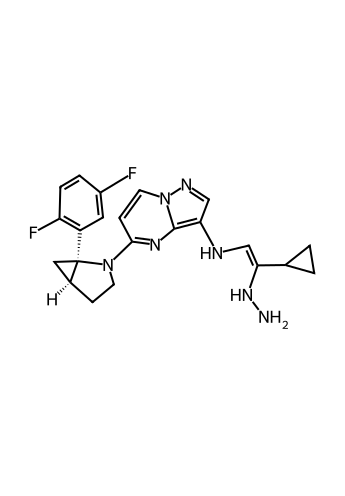 NN/C(=C\Nc1cnn2ccc(N3CC[C@H]4C[C@]43c3cc(F)ccc3F)nc12)C1CC1